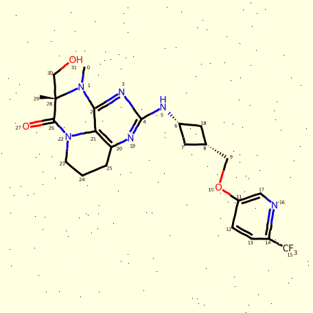 CN1c2nc(N[C@H]3C[C@@H](COc4ccc(C(F)(F)F)nc4)C3)nc3c2N(CCC3)C(=O)[C@]1(C)CO